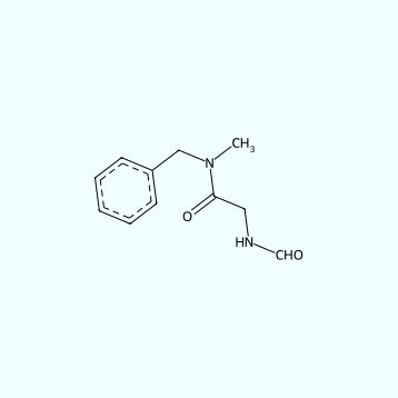 CN(Cc1ccccc1)C(=O)CNC=O